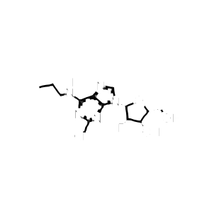 CCCNc1nc(Cl)nc2c1ncn2[C@@H]1O[C@H](CO)[C@@H](O)[C@@H]1F